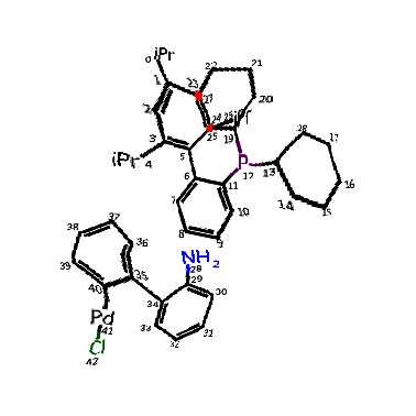 CC(C)c1cc(C(C)C)c(-c2ccccc2P(C2CCCCC2)C2CCCCC2)c(C(C)C)c1.Nc1ccccc1-c1cccc[c]1[Pd][Cl]